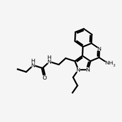 CCCn1nc2c(N)nc3ccccc3c2c1CCNC(=O)NCC